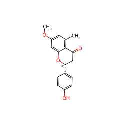 COc1cc(C)c2c(c1)O[C@@H](c1ccc(O)cc1)CC2=O